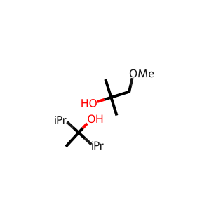 CC(C)C(C)(O)C(C)C.COCC(C)(C)O